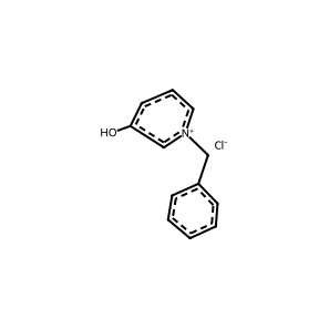 Oc1ccc[n+](Cc2ccccc2)c1.[Cl-]